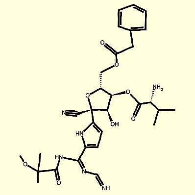 COC(C)(C)C(=O)N/C(=N/C=N)c1ccc([C@]2(C#N)O[C@H](COC(=O)Cc3ccccc3)[C@@H](OC(=O)[C@H](N)C(C)C)[C@H]2O)[nH]1